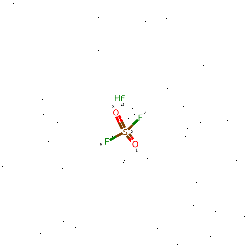 F.O=S(=O)(F)F